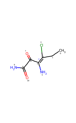 CC/C(Cl)=C(\N)C(=O)C(N)=O